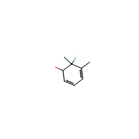 CC1=CC=CC(O)C1(C)Cl